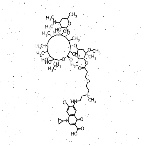 CC[C@H]1OC(=O)[C@H](C)[C@@H](O[C@H]2C[C@@](C)(OC)[C@@H](OC(=O)CCOCCN(C)CCNc3cc4c(=O)c(C(=O)O)cn(C5CC5)c4cc3Cl)[C@H](C)O2)[C@H](C)[C@@H](O[C@@H]2O[C@H](C)C[C@H](N(C)C)[C@H]2O)[C@](C)(O)C[C@@H](C)CN(C)[C@H](C)[C@@H](O)[C@]1(C)O